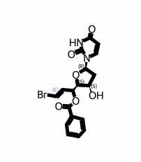 O=C(OC(/C=C/Br)[C@H]1O[C@@H](n2ccc(=O)[nH]c2=O)C[C@@H]1O)c1ccccc1